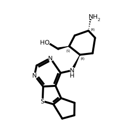 N[C@@H]1CC[C@@H](Nc2ncnc3sc4c(c23)CCC4)[C@@H](CO)C1